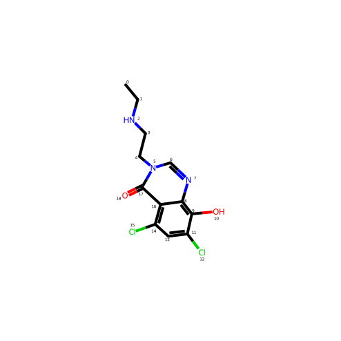 CCNCCn1cnc2c(O)c(Cl)cc(Cl)c2c1=O